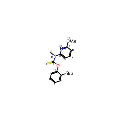 CCCCc1ccccc1OC(=S)N(C)c1cccc(OC)n1